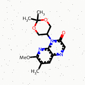 COc1nc2c(cc1C)ncc(=O)n2C1COC(C)(C)OC1